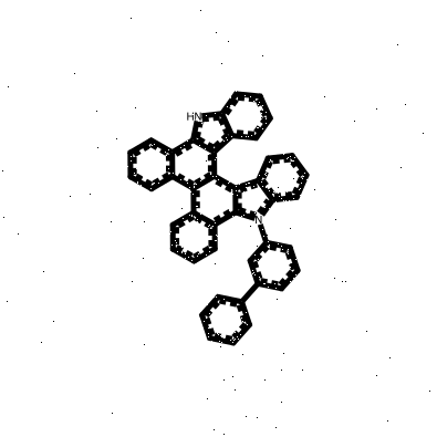 c1ccc(-c2cccc(-n3c4ccccc4c4c5c(c6ccccc6c6[nH]c7ccccc7c65)c5ccccc5c43)c2)cc1